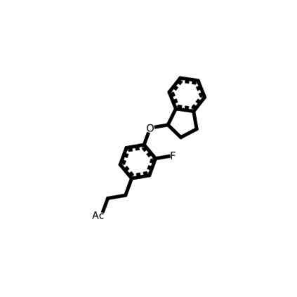 CC(=O)CCc1ccc(OC2CCc3ccccc32)c(F)c1